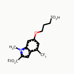 CCOC(=O)c1cc2c(C(F)(F)F)cc(OCCCS(=O)(=O)O)cc2n1C